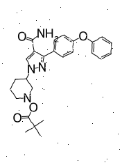 CC(C)(C)C(=O)ON1CCCC(n2cc(C(N)=O)c(-c3ccc(Oc4ccccc4)cc3)n2)C1